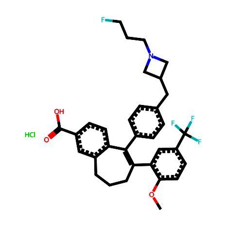 COc1ccc(C(F)(F)F)cc1C1=C(c2ccc(CC3CN(CCCF)C3)cc2)c2ccc(C(=O)O)cc2CCC1.Cl